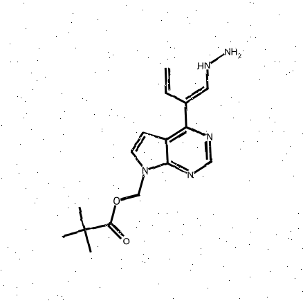 C=C/C(=C\NN)c1ncnc2c1ccn2COC(=O)C(C)(C)C